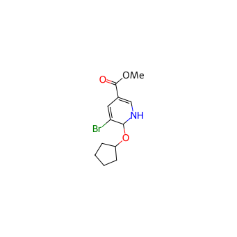 COC(=O)C1=CNC(OC2CCCC2)C(Br)=C1